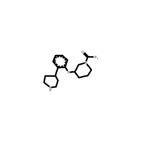 O=C(N1CCCC(Oc2ccccc2C2CCNCC2)C1)C(F)(F)F